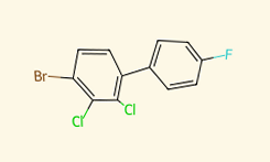 Fc1ccc(-c2ccc(Br)c(Cl)c2Cl)cc1